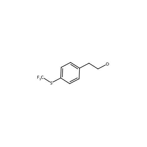 [O]CCc1ccc(SC(F)(F)F)cc1